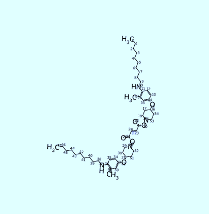 CCCCCCCCCCNc1ccc(OC2CCN(OC(=O)/C=C/C(=O)ON3CCC(Oc4ccc(NCCCCCCCCCC)c(C)c4)CC3)CC2)cc1C